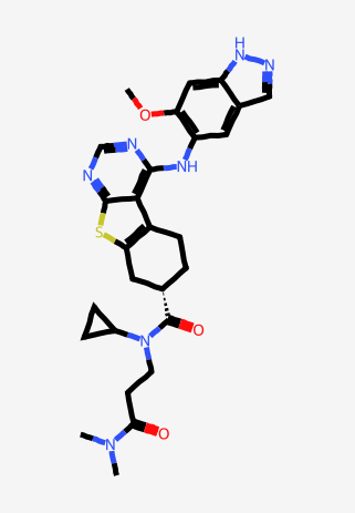 COc1cc2[nH]ncc2cc1Nc1ncnc2sc3c(c12)CC[C@H](C(=O)N(CCC(=O)N(C)C)C1CC1)C3